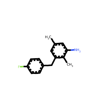 Cc1cc(N)c(C)c(Cc2ccc(F)cc2)c1